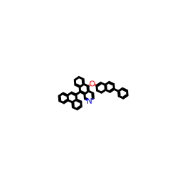 C1=C(Oc2c3c(c(-c4cc5ccccc5c5ccccc45)c4cnccc24)=CCCC=3)CCc2cc(-c3ccccc3)ccc21